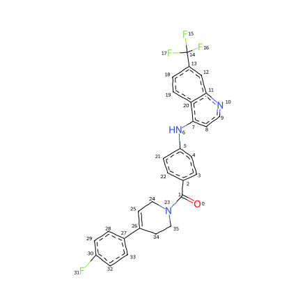 O=C(c1ccc(Nc2ccnc3cc(C(F)(F)F)ccc23)cc1)N1CC=C(c2ccc(F)cc2)CC1